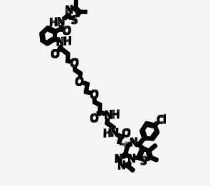 Cc1nc(NC(=O)c2ccccc2NC(=O)CCOCCOCCOCCC(=O)NCCNC(=O)C[C@@H]2N=C(c3ccc(Cl)cc3)c3c(sc(C)c3C)-n3c(C)nnc32)sc1C